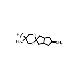 C=C1CC2CC3(CC2C1)OCC(C)(C)CO3